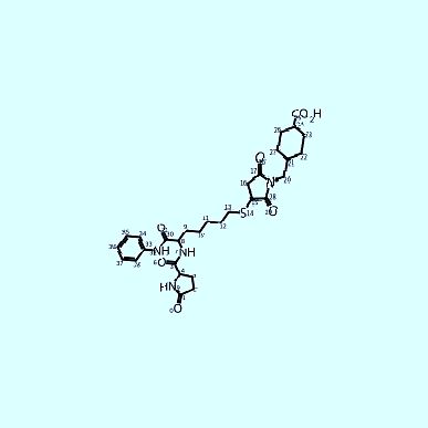 O=C1CCC(C(=O)NC(CCCCCSC2CC(=O)N(CC3CCC(C(=O)O)CC3)C2=O)C(=O)Nc2ccccc2)N1